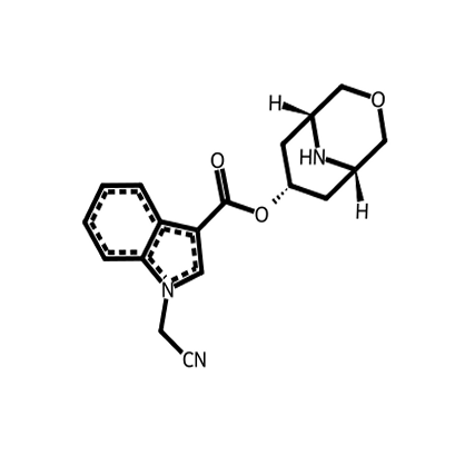 N#CCn1cc(C(=O)O[C@H]2C[C@H]3COC[C@@H](C2)N3)c2ccccc21